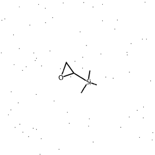 C[Si](C)(C)C1CO1